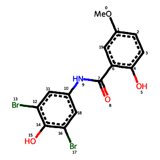 COc1ccc(O)c(C(=O)Nc2cc(Br)c(O)c(Br)c2)c1